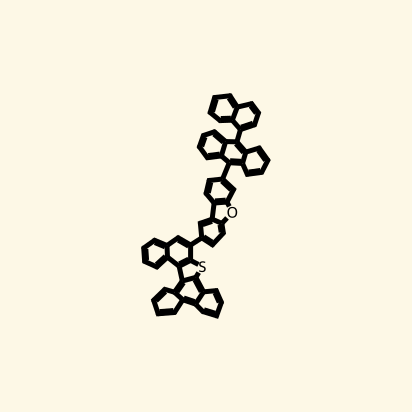 c1ccc2c(-c3c4ccccc4c(-c4ccc5c(c4)oc4ccc(-c6cc7ccccc7c7c6sc6c8ccccc8c8ccccc8c67)cc45)c4ccccc34)cccc2c1